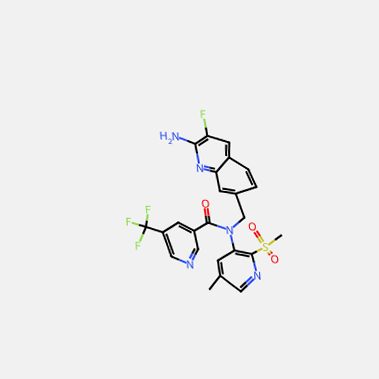 Cc1cnc(S(C)(=O)=O)c(N(Cc2ccc3cc(F)c(N)nc3c2)C(=O)c2cncc(C(F)(F)F)c2)c1